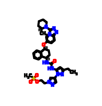 CCc1cc(NC(=O)N[C@H]2CC[C@@H](Oc3ccc4nnc(N5CCCC[C@@H]5C)n4c3)c3ccccc32)n(-c2cnn(CCOS(C)(=O)=O)c2)n1